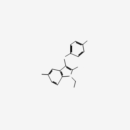 Cc1c(Sc2ccc(Cl)cc2)c2cc(F)ccc2n1CC(=O)O